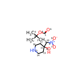 CC(C)(C)OC=O.O=[N+]([O-])CC1(O)CCNCC1